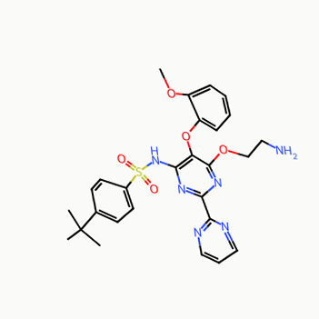 COc1ccccc1Oc1c(NS(=O)(=O)c2ccc(C(C)(C)C)cc2)nc(-c2ncccn2)nc1OCCN